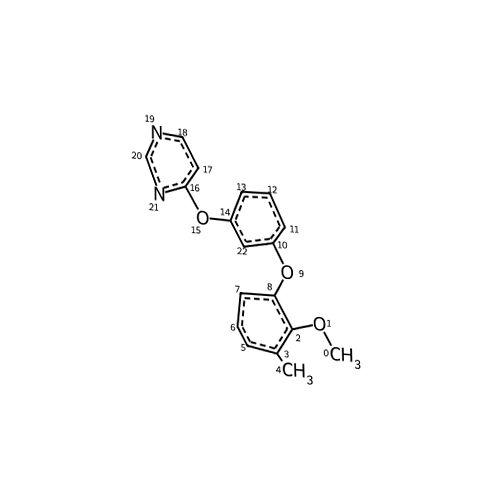 COc1c(C)cccc1Oc1cccc(Oc2ccncn2)c1